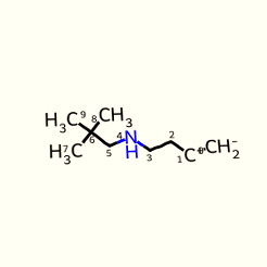 [CH2-][CH+]CCNCC(C)(C)C